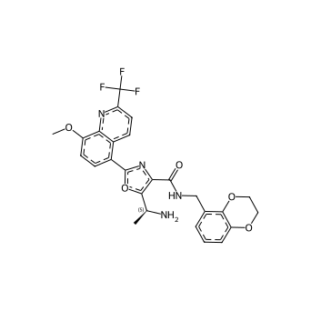 COc1ccc(-c2nc(C(=O)NCc3cccc4c3OCCO4)c([C@H](C)N)o2)c2ccc(C(F)(F)F)nc12